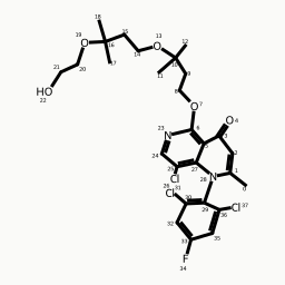 Cc1cc(=O)c2c(OCCC(C)(C)OCCC(C)(C)OCCO)ncc(Cl)c2n1-c1c(Cl)cc(F)cc1Cl